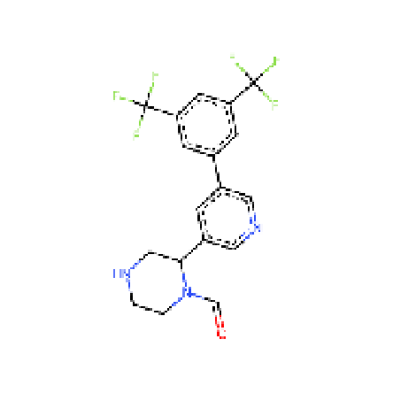 O=CN1CCNCC1c1cncc(-c2cc(C(F)(F)F)cc(C(F)(F)F)c2)c1